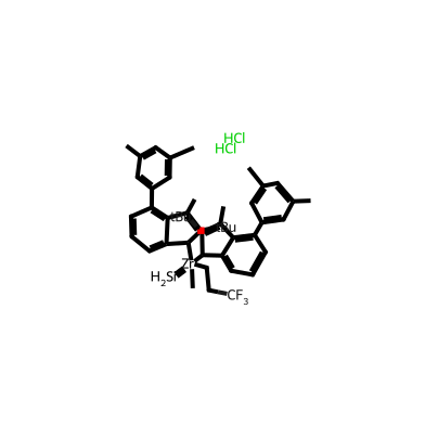 CC1=C(C(C)(C)C)[CH]([Zr]([CH3])(=[SiH2])([CH2]CC(F)(F)F)[CH]2C(C(C)(C)C)=C(C)c3c(-c4cc(C)cc(C)c4)cccc32)c2cccc(-c3cc(C)cc(C)c3)c21.Cl.Cl